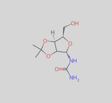 CC1(C)OC2[C@H](NC(N)=O)O[C@H](CO)[C@@H]2O1